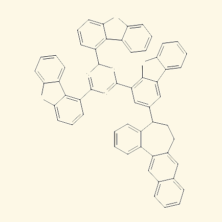 c1ccc2c(c1)-c1cc3ccccc3cc1CCC2c1cc(C2=NC(c3cccc4sc5ccccc5c34)=NC(c3cccc4sc5ccccc5c34)N2)c2oc3ccccc3c2c1